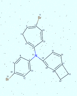 BrC1=CCC=C(N(c2ccc(Br)cc2)c2ccc3c(c2)CC3)C=C1